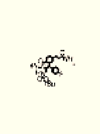 CC(C)Cn1c(CNC(=O)OC(C)(C)C)c(-c2ccc(F)cc2)c2cc(C=CC(N)=O)ccc2c1=O